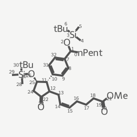 CCCCCC(O[Si](C)(C)C(C)(C)C)c1ccc([C@@H]2C(C/C=C\CCCC(=O)OC)C(=O)C[C@H]2O[Si](C)(C)C(C)(C)C)cc1